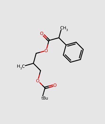 CC(COC(=O)C(C)c1ccccc1)COC(=O)C(C)(C)C